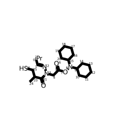 CC(C)C=NN(CC(=O)ON(C1CCCCC1)C1CCCCC1)C(=O)C(C)CS